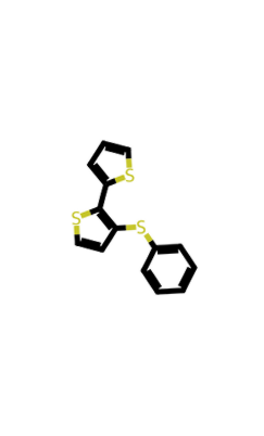 c1ccc(Sc2ccsc2-c2cccs2)cc1